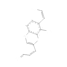 C=C/C=C\C1=CNc2ccc(/C=C\C)c(C)c2S1